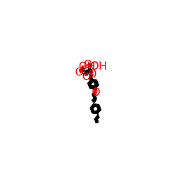 CCC[C@H]1CC[C@H](C=CCOc2ccc(C3O[C@@H](C(=O)O)[C@H](C(=O)O)O3)cc2)CC1